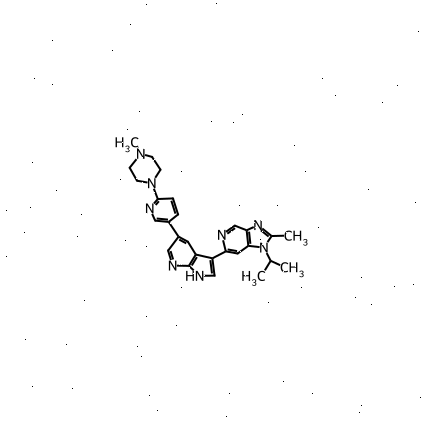 Cc1nc2cnc(-c3c[nH]c4ncc(-c5ccc(N6CCN(C)CC6)nc5)cc34)cc2n1C(C)C